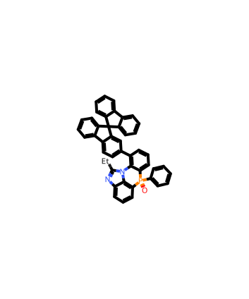 CCc1nc2cccc3c2n1-c1c(-c2ccc4c(c2)C2(c5ccccc5-c5ccccc52)c2ccccc2-4)cccc1P3(=O)c1ccccc1